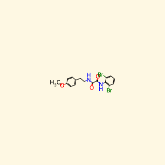 COc1ccc(CCNC(=O)C(=O)Nc2c(Br)cccc2Br)cc1